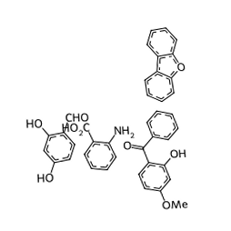 COc1ccc(C(=O)c2ccccc2)c(O)c1.Nc1ccccc1C(=O)O.O=Cc1ccc(O)cc1O.c1ccc2c(c1)oc1ccccc12